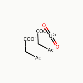 CC(=O)CC(=O)[O-].CC(=O)CC(=O)[O-].[O]=[U+2]=[O]